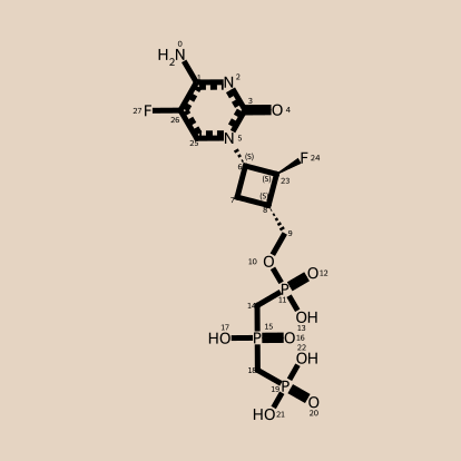 Nc1nc(=O)n([C@H]2C[C@@H](COP(=O)(O)CP(=O)(O)CP(=O)(O)O)[C@@H]2F)cc1F